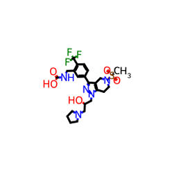 CS(=O)(=O)N1CCc2c(c(-c3ccc(C(F)(F)F)c(CNC(=O)O)c3)nn2CC(O)CN2CCCC2)C1